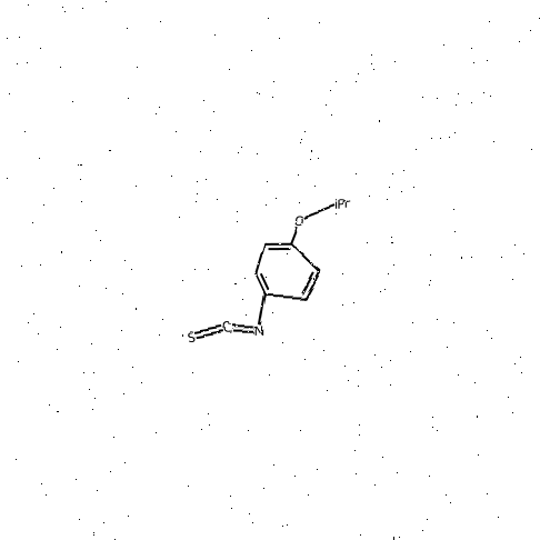 CC(C)Oc1ccc(N=C=S)cc1